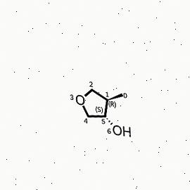 C[C@@H]1COC[C@H]1O